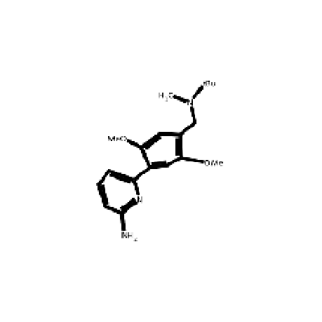 COc1cc(-c2cccc(N)n2)c(OC)cc1CN(C)C(C)(C)C